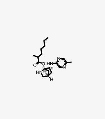 CCCCCC(C)C(=O)O[C@]12C[C@@H](CN1)C[C@H]2Nc1cnc(C)cn1